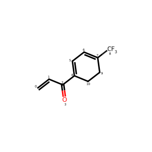 C=CC(=O)C1=CC=C(C(F)(F)F)CC1